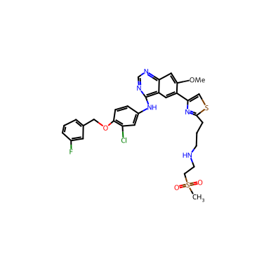 COc1cc2ncnc(Nc3ccc(OCc4cccc(F)c4)c(Cl)c3)c2cc1-c1csc(CCCNCCS(C)(=O)=O)n1